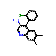 Cc1cc2ncc(N)c(-c3ccccc3Cl)c2cc1C